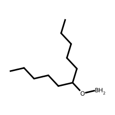 BOC(CCCCC)CCCCC